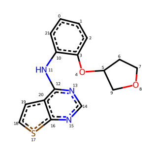 c1ccc(OC2CCOC2)c(Nc2ncnc3sccc23)c1